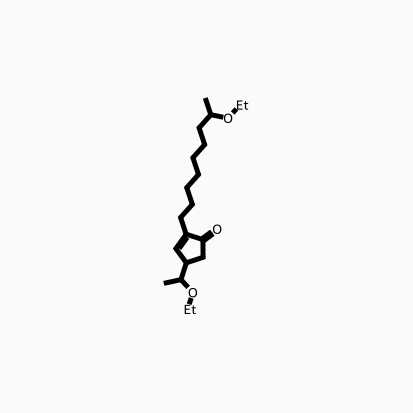 CCOC(C)CCCCCCCC1=CC(C(C)OCC)CC1=O